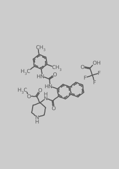 COC(=O)C1(NC(=O)c2cc3ccccc3cc2NC(=O)Nc2c(C)cc(C)cc2C)CCNCC1.O=C(O)C(F)(F)F